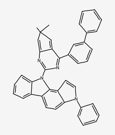 CC1(C)C=c2nc(-n3c4ccccc4c4ccc5c(ccn5-c5ccccc5)c43)nc(-c3cccc(-c4ccccc4)c3)c2=C1